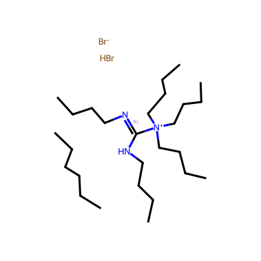 Br.CCCC/N=C(\NCCCC)[N+](CCCC)(CCCC)CCCC.CCCCCC.[Br-]